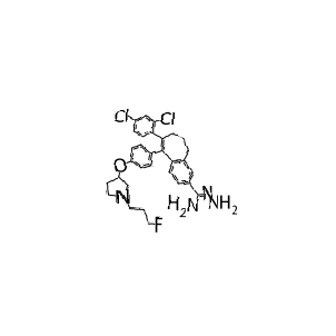 N/N=C(\N)c1ccc2c(c1)CCCC(c1ccc(Cl)cc1Cl)=C2c1ccc(OC2CCN(CCCF)C2)cc1